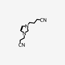 N#CCCCN1C=CN(CCC#N)C1